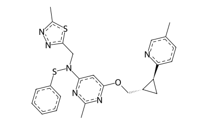 Cc1ccc([C@H]2C[C@@H]2COc2cc(N(Cc3nnc(C)s3)Sc3ccccc3)nc(C)n2)nc1